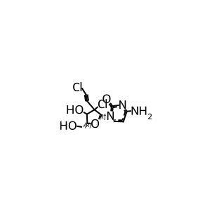 Nc1ccn([C@@H]2O[C@H](CO)C(O)C2(Cl)C#CCl)c(=O)n1